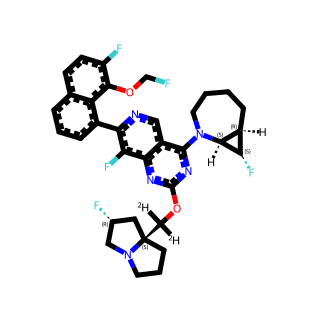 [2H]C([2H])(Oc1nc(N2CCCC[C@H]3[C@H](F)[C@H]32)c2cnc(-c3cccc4ccc(F)c(OCF)c34)c(F)c2n1)[C@@]12CCCN1C[C@H](F)C2